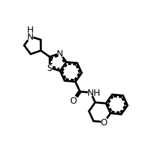 O=C(NC1CCOc2ccccc21)c1ccc2nc(C3CCNC3)sc2c1